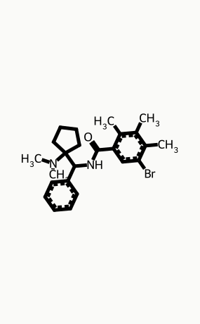 Cc1c(Br)cc(C(=O)NC(c2ccccc2)C2(N(C)C)CCCC2)c(C)c1C